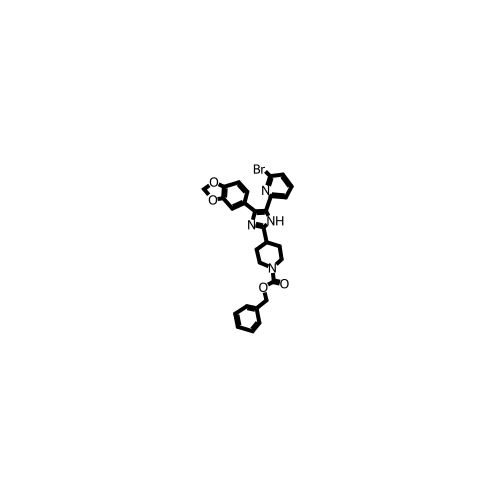 O=C(OCc1ccccc1)N1CCC(c2nc(-c3ccc4c(c3)OCO4)c(-c3cccc(Br)n3)[nH]2)CC1